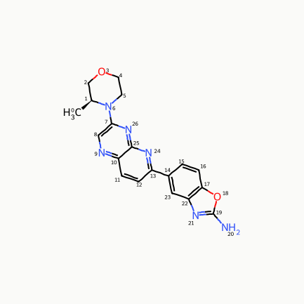 C[C@H]1COCCN1c1cnc2ccc(-c3ccc4oc(N)nc4c3)nc2n1